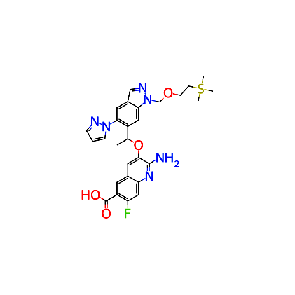 CC(Oc1cc2cc(C(=O)O)c(F)cc2nc1N)c1cc2c(cnn2COCCS(C)(C)C)cc1-n1cccn1